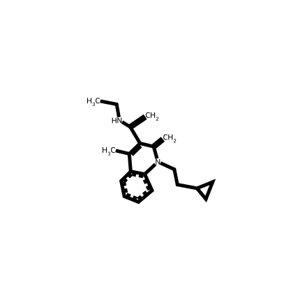 C=C(NCC)C1=C(C)c2ccccc2N(CCC2CC2)C1=C